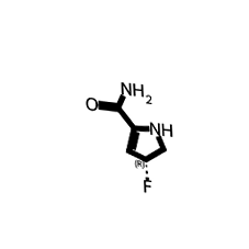 NC(=O)C1=C[C@@H](F)CN1